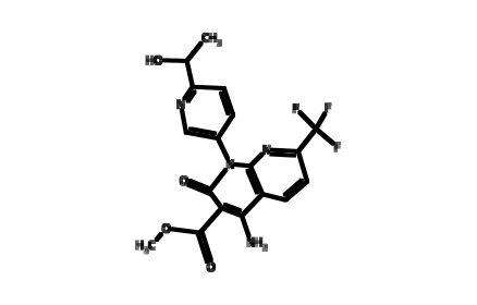 COC(=O)c1c(N)c2ccc(C(F)(F)F)nc2n(-c2ccc(C(C)O)nc2)c1=O